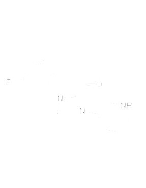 O=CC1N(c2cccc(F)c2)CCN1C1CCCNC1